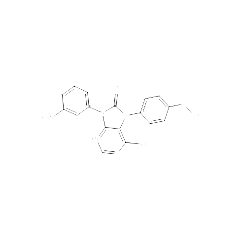 CCCCOc1ccc(-n2c(=O)n(-c3cccc(NC)c3)c3ncnc(N)c32)cc1